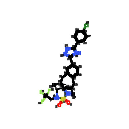 O=S1(=O)N[C@@]2(CN1CC(F)(F)F)[C@@H]1CC[C@H]2Cc2ccc(-c3nnc(-c4ccc(Cl)cc4)[nH]3)cc2C1